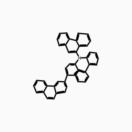 c1ccc(-c2ccccc2N(c2ccc(-c3ccc4ccc5ccccc5c4c3)cc2)c2cc3ccccc3c3ccccc23)cc1